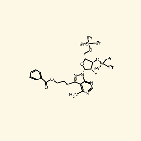 CC(C)[Si](OC[C@H]1O[C@@H](n2nc(SCCOC(=O)c3ccccc3)c3c(N)ncnc32)[C@@H](F)[C@@H]1O[Si](C(C)C)(C(C)C)C(C)C)(C(C)C)C(C)C